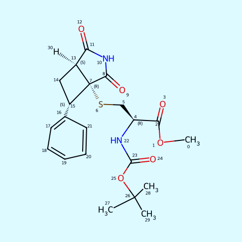 COC(=O)[C@H](CS[C@@]12C(=O)NC(=O)[C@@H]1C[C@H]2c1ccccc1)NC(=O)OC(C)(C)C